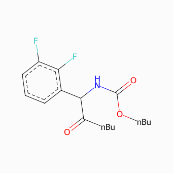 CCCCOC(=O)NC(C(=O)CCCC)c1cccc(F)c1F